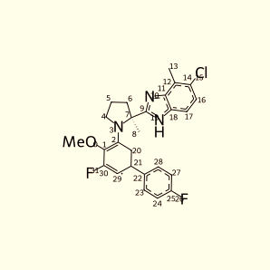 COC1=C(N2CCC[C@@]2(C)c2nc3c(C)c(Cl)ccc3[nH]2)CC(c2ccc(F)cc2)[C]=C1F